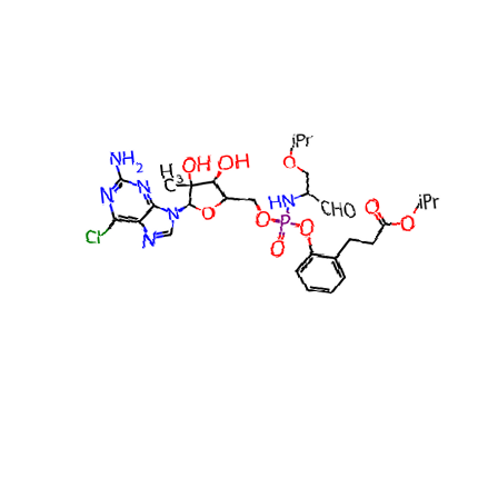 CC(C)OC[C@@H](C=O)NP(=O)(OCC1O[C@@H](n2cnc3c(Cl)nc(N)nc32)[C@](C)(O)[C@H]1O)Oc1ccccc1CCC(=O)OC(C)C